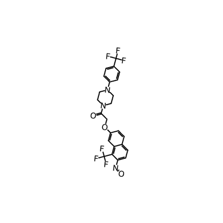 O=Nc1ccc2ccc(OCC(=O)N3CCN(c4ccc(C(F)(F)F)cc4)CC3)cc2c1C(F)(F)F